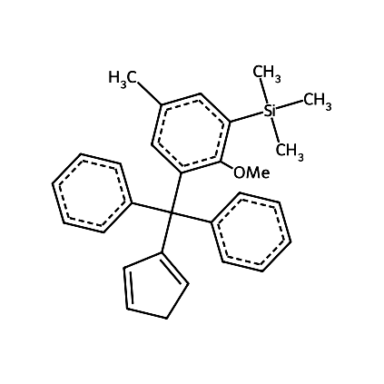 COc1c(C(C2=CCC=C2)(c2ccccc2)c2ccccc2)cc(C)cc1[Si](C)(C)C